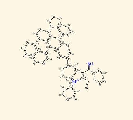 C=Cc1c(C(=N)c2ccccc2)c2cc(-c3ccc4c(-c5cccc6c5C=CCC6)c5ccccc5c(-c5cccc6ccccc56)c4c3)ccc2n1-c1ccccc1